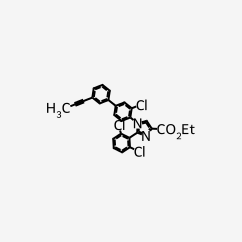 CC#Cc1cccc(-c2ccc(-n3cc(C(=O)OCC)nc3-c3c(Cl)cccc3Cl)c(Cl)c2)c1